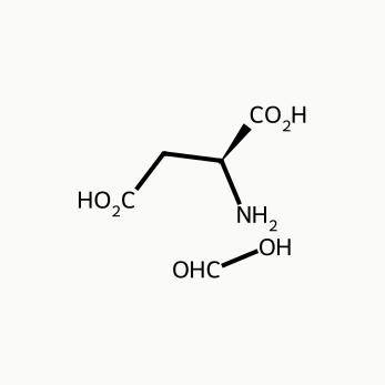 N[C@@H](CC(=O)O)C(=O)O.O=CO